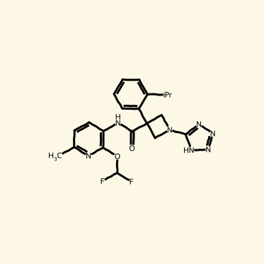 Cc1ccc(NC(=O)C2(c3ccccc3C(C)C)CN(c3nnn[nH]3)C2)c(OC(F)F)n1